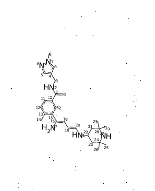 C=C(NCc1cnn(C)c1)c1ccc(C)c(/C(N)=C/C=C/NC2CC(C)(C)NC(C)(C)C2)c1